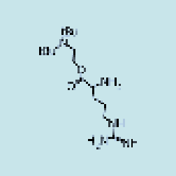 CC(C)(C)N(CCOC(=O)C(N)CCCNC(=N)N)C(C)(C)C